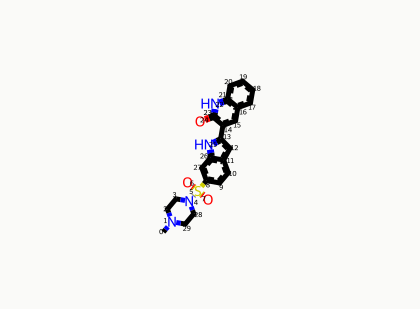 CN1CCN(S(=O)(=O)c2ccc3cc(-c4cc5ccccc5[nH]c4=O)[nH]c3c2)CC1